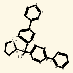 CC(c1ccc(-c2ccccc2)cc1)(c1ccc(-c2ccccc2)cc1)[C@H]1CCCN1